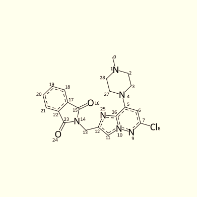 CN1CCN(c2cc(Cl)nn3cc(CN4C(=O)c5ccccc5C4=O)nc23)CC1